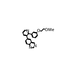 COCCOc1cccc(-c2ncccc2-c2ccc3ncncc3c2)c1